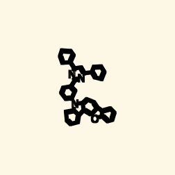 c1ccc(-c2cc(-c3ccccc3)nc(-c3cccc(-n4c5ccccc5c5c6oc7ccccc7c6ccc54)c3)n2)cc1